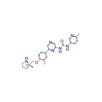 Cc1ccc(NC(=O)Nc2cncc(-c3ccc(OC[C@]4(C)CCCN4)c(C)c3)n2)cn1